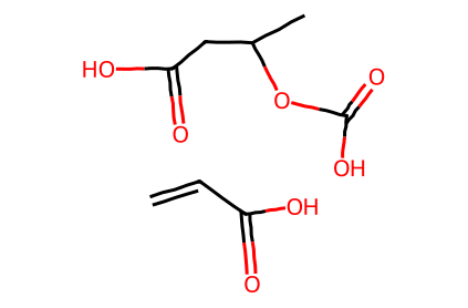 C=CC(=O)O.CC(CC(=O)O)OC(=O)O